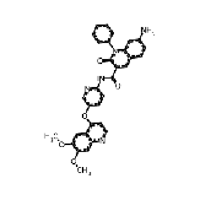 COc1cc2nccc(Oc3ccc(NC(=O)c4cc5ccc(N)cc5n(-c5ccccc5)c4=O)nc3)c2cc1OC